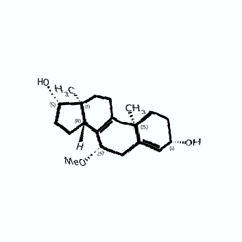 CO[C@H]1CC2=C[C@@H](O)CC[C@]2(C)C2=C1[C@@H]1CC[C@H](O)[C@@]1(C)CC2